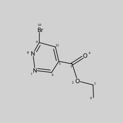 CCOC(=O)c1cnnc(Br)c1